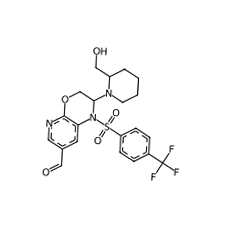 O=Cc1cnc2c(c1)N(S(=O)(=O)c1ccc(C(F)(F)F)cc1)C(N1CCCCC1CO)CO2